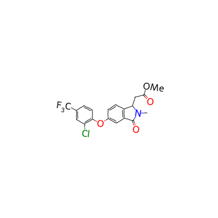 COC(=O)CC1c2ccc(Oc3ccc(C(F)(F)F)cc3Cl)cc2C(=O)N1C